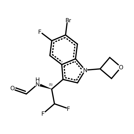 O=CN[C@@H](c1cn(C2COC2)c2cc(Br)c(F)cc12)C(F)F